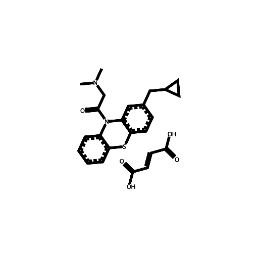 CN(C)CC(=O)N1c2ccccc2Sc2ccc(CC3CC3)cc21.O=C(O)C=CC(=O)O